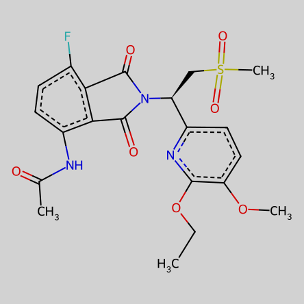 CCOc1nc([C@H](CS(C)(=O)=O)N2C(=O)c3c(F)ccc(NC(C)=O)c3C2=O)ccc1OC